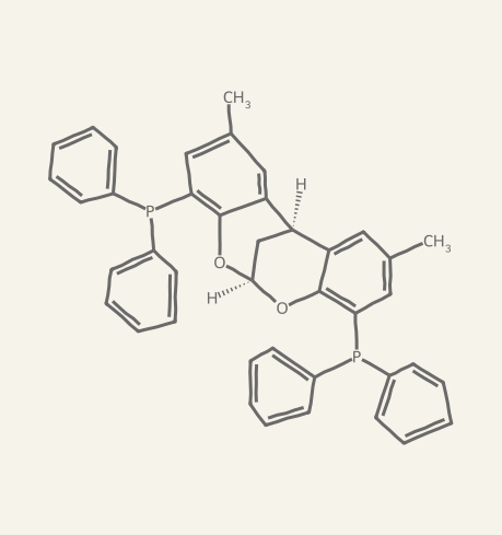 Cc1cc(P(c2ccccc2)c2ccccc2)c2c(c1)[C@H]1C[C@@H](O2)Oc2c(P(c3ccccc3)c3ccccc3)cc(C)cc21